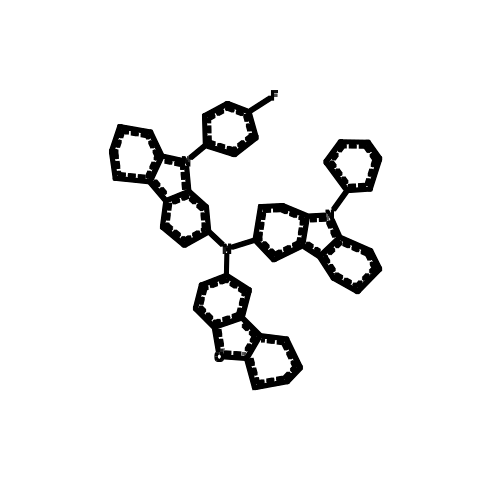 Fc1ccc(-n2c3ccccc3c3ccc(N(c4ccc5oc6ccccc6c5c4)c4ccc5c(c4)c4ccccc4n5-c4ccccc4)cc32)cc1